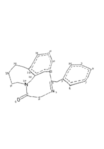 O=C1CN=C(c2ccccc2)c2cccc3c2N1CCC3